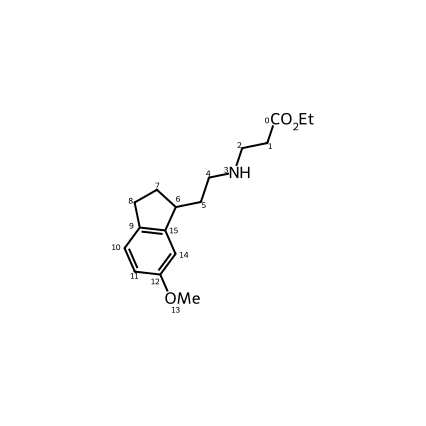 CCOC(=O)CCNCCC1CCc2ccc(OC)cc21